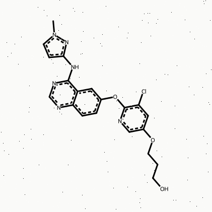 Cn1ccc(Nc2ncnc3ccc(Oc4ncc(OCCCO)cc4Cl)cc23)n1